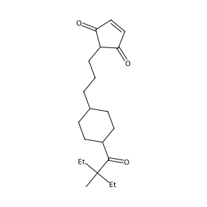 CCC(C)(CC)C(=O)C1CCC(CCCC2C(=O)C=CC2=O)CC1